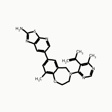 C=C(C)c1c(C)ncnc1N1CCOc2c(C)cc(-c3cnc4sc(N)nc4c3)cc2C1